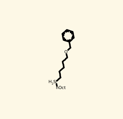 CCCCCCCC[SiH2]CCCCCOCc1ccccc1